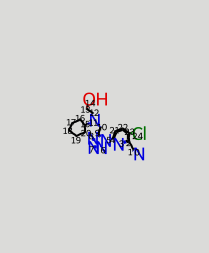 N#Cc1nc(-n2nnnc2CN(CCO)C2CCCCC2)ccc1Cl